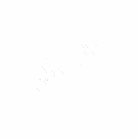 C[C@H]1CCCCN1c1nnc2ccc(O[C@@H]3CC[C@H](NC(=O)Nc4cc(C(C)(C)C)nn4-c4ccn(CCN(C)C)n4)c4ccccc43)cn12